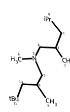 CC(C)CC(C)CN(C)CC(C)CC(C)(C)C